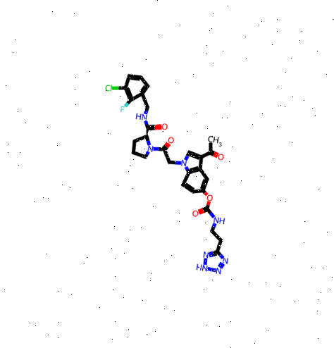 CC(=O)c1cn(CC(=O)N2CCC[C@H]2C(=O)NCc2cccc(Cl)c2F)c2ccc(OC(=O)NCCc3nn[nH]n3)cc12